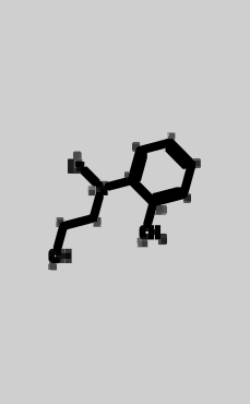 CCN(CCO)c1ccccc1C